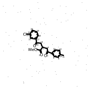 COC(=O)C(CC(=O)c1ccc(C)cc1)CC(=O)c1cccc(Cl)c1